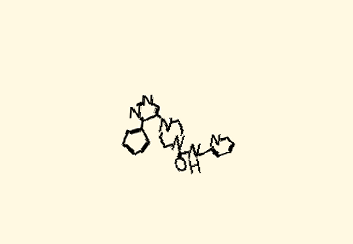 O=C(NCc1ccccn1)N1CCN(c2cncnc2-c2ccccc2)CC1